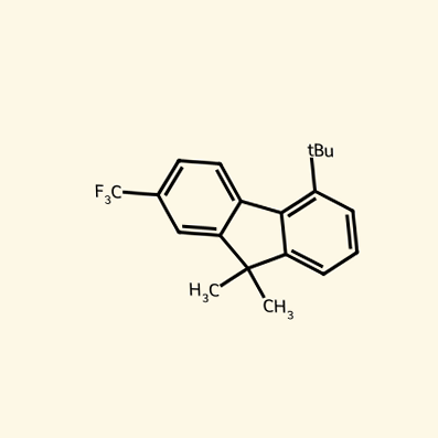 CC(C)(C)c1cccc2c1-c1ccc(C(F)(F)F)cc1C2(C)C